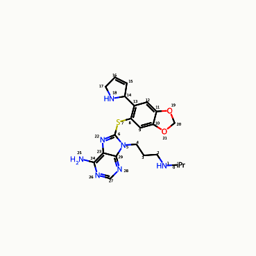 CC(C)NCCCn1c(Sc2cc3c(cc2C2C=CCN2)OCO3)nc2c(N)ncnc21